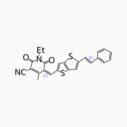 CCN1C(=O)C(C#N)=C(C)/C(=C/c2cc3sc(/C=C/c4ccccc4)cc3s2)C1=O